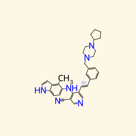 Cc1c(Nc2c(C#N)cncc2/C=C/c2cccc(CN3CCN(C4CCCC4)CC3)c2)ccc2[nH]ccc12